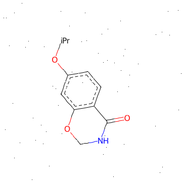 CC(C)Oc1ccc2c(c1)OCNC2=O